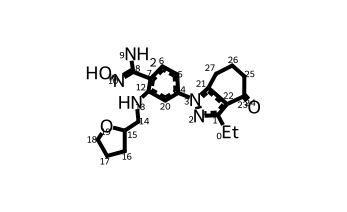 CCc1nn(-c2ccc(/C(N)=N/O)c(NCC3CCCO3)c2)c2c1C(=O)CCC2